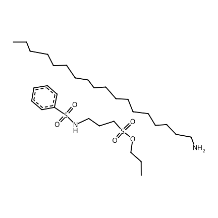 CCCCCCCCCCCCCCCCCCN.CCCOS(=O)(=O)CCCNS(=O)(=O)c1ccccc1